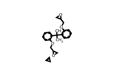 C1=CC1.CC(C)(c1ccccc1OCC1CO1)c1ccccc1OCC1CO1